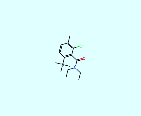 CCN(CC)C(=O)c1c([Si](C)(C)C)ccc(C)c1Cl